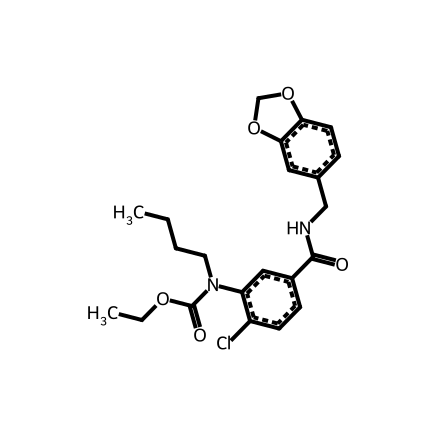 CCCCN(C(=O)OCC)c1cc(C(=O)NCc2ccc3c(c2)OCO3)ccc1Cl